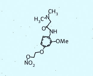 COc1cc(OCCO[N+](=O)[O-])ccc1NC(=O)CN(C)C